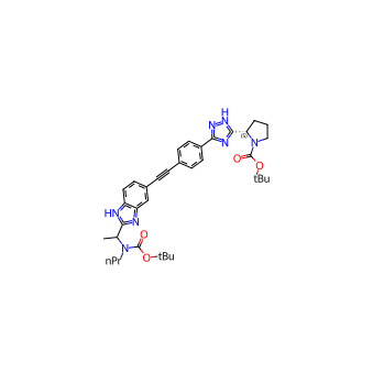 CCCN(C(=O)OC(C)(C)C)C(C)c1nc2cc(C#Cc3ccc(-c4n[nH]c([C@@H]5CCCN5C(=O)OC(C)(C)C)n4)cc3)ccc2[nH]1